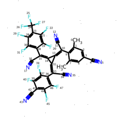 Cc1cc(C#N)cc(C)c1/C(C#N)=C1/C(=C(C#N)c2c(F)c(F)c(C(F)(F)F)c(F)c2F)/C1=C(/C#N)c1c(F)c(F)c(C#N)c(F)c1F